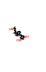 C=C1[C@H](O)CC(=C/C=C2\CCC[C@]3(C)[C@@H]([C@H](C)CCC[C@H](C)O)CC[C@@H]23)C[C@H]1O